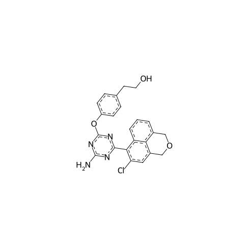 Nc1nc(Oc2ccc(CCO)cc2)nc(-c2c(Cl)cc3c4c(cccc24)COC3)n1